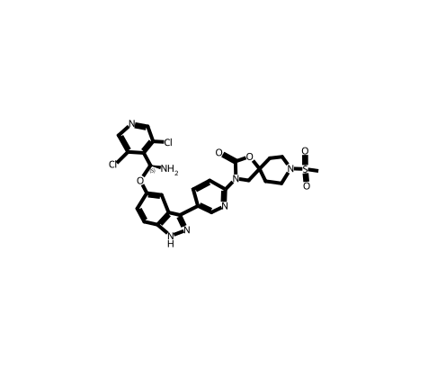 CS(=O)(=O)N1CCC2(CC1)CN(c1ccc(-c3n[nH]c4ccc(O[C@H](N)c5c(Cl)cncc5Cl)cc34)cn1)C(=O)O2